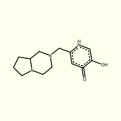 O=c1cc(CN2CCN3CCCC3C2)[nH]cc1O